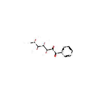 CC(O)C(O)C(O)C(O)C(=O)C(=O)c1ccccc1